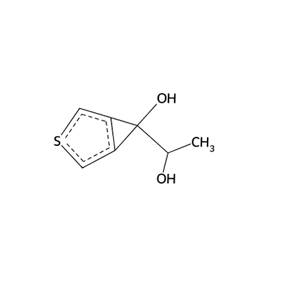 CC(O)C1(O)c2cscc21